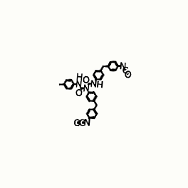 Cc1ccc(NC(=O)N(C(=O)Nc2ccc(Cc3ccc(N=C=O)cc3)cc2)c2ccc(Cc3ccc(N=C=O)cc3)cc2)cc1